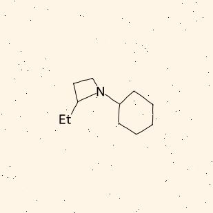 CCC1CCN1C1CCCCC1